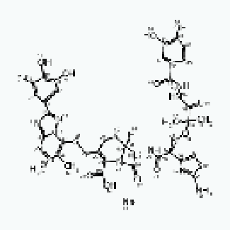 Cc1nc2nc(-c3cc(O)c(O)c(Cl)c3)nn2c(SCC2=C(C(=O)O)N3C(=O)[C@@H](NC(=O)C(=NOC(C)(C)C(=O)NNC(=O)c4ccc(O)c(O)c4)c4csc(N)n4)[C@H]3SC2)c1C.[Na]